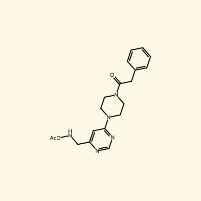 CC(=O)ONCc1cc(N2CCN(C(=O)Cc3ccccc3)CC2)ncn1